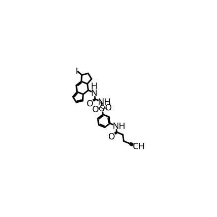 C#CCCC(=O)Nc1cccc(S(=O)(=O)NC(=O)NC2C3C=CC=C3C=C3C(I)CCC32)c1